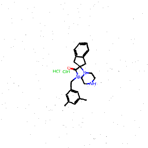 Cc1cc(C)cc(CNC(=O)C2(N3CCNCC3)Cc3ccccc3C2)c1.Cl.Cl